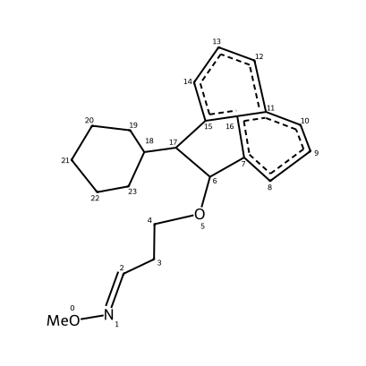 CON=CCCOC1c2cccc3cccc(c23)C1C1CCCCC1